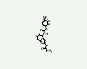 NC(=O)Cc1cn2c(NC(=O)Cc3ccc(C(F)(F)F)cc3)cccc2n1